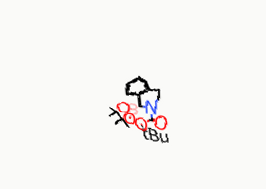 CC(C)(C)OC(=O)N1CCc2ccccc2C1B1OC(C)(C)C(C)(C)O1